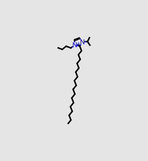 CCCCCCCCCCCCCCCCCCc1n(C(C)C)cc[n+]1CCCC